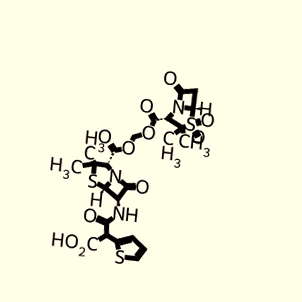 CC1(C)S[C@@H]2[C@H](NC(=O)C(C(=O)O)c3cccs3)C(=O)N2[C@H]1C(=O)OCOC(=O)[C@@H]1N2C(=O)C[C@H]2S(=O)(=O)C1(C)C